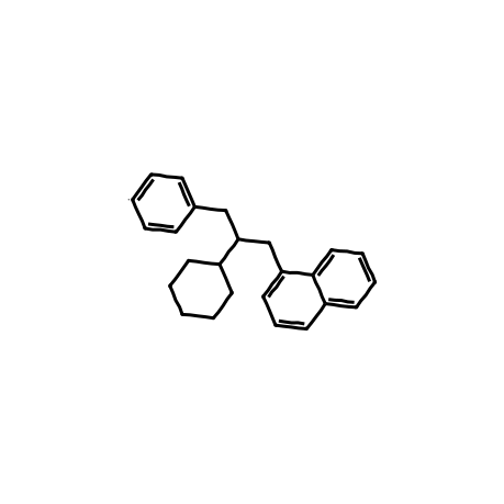 [c]1ccc(CC(Cc2cccc3ccccc23)C2CCCCC2)cc1